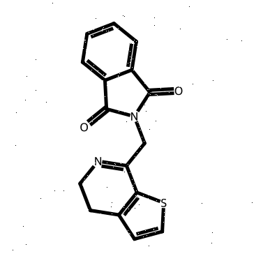 O=C1c2ccccc2C(=O)N1CC1=NCCc2ccsc21